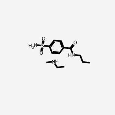 CCCNC(=O)c1ccc(S(N)(=O)=O)cc1.CCNC